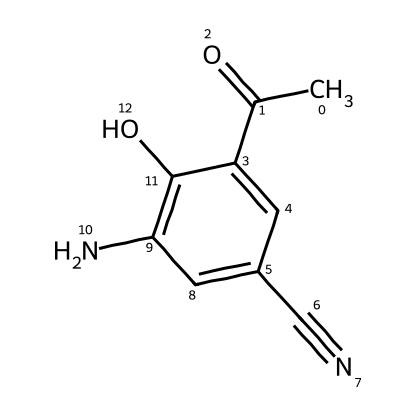 CC(=O)c1cc(C#N)cc(N)c1O